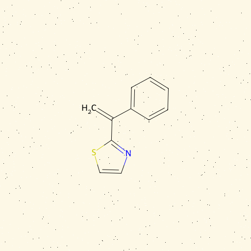 C=C(c1[c]cccc1)c1nccs1